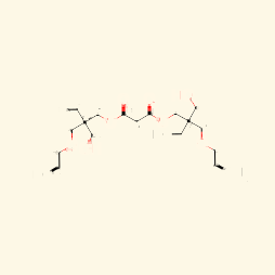 C=CCOCC(CC)(CO)COC(=O)CC(=O)OCC(CC)(CO)COCC=C